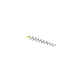 CCCCCC=CCC=CCCCCCCCCS